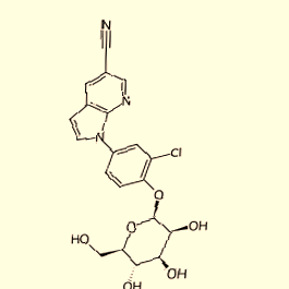 N#Cc1cnc2c(ccn2-c2ccc(O[C@@H]3O[C@H](CO)[C@@H](O)[C@H](O)[C@@H]3O)c(Cl)c2)c1